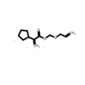 C=CCOCOC(=O)C(=C)C1CCCC1